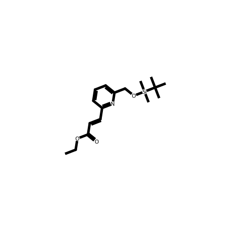 CCOC(=O)C=Cc1cccc(CO[Si](C)(C)C(C)(C)C)n1